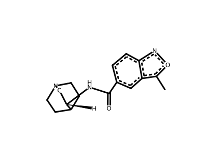 Cc1onc2ccc(C(=O)N[C@H]3CN4CCC3CC4)cc12